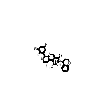 CN(C)c1c(C(=O)N[C@H]2CCOc3ccccc32)cnc2c(-c3cc(F)cc(F)c3F)nccc12